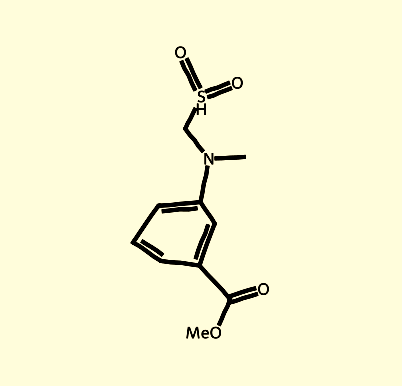 COC(=O)c1cccc(N(C)C[SH](=O)=O)c1